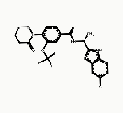 C[C@H](NC(=O)c1ccc(N2CCCCC2=O)c(OC(F)(F)F)c1)c1nc2cc(Cl)ccc2[nH]1